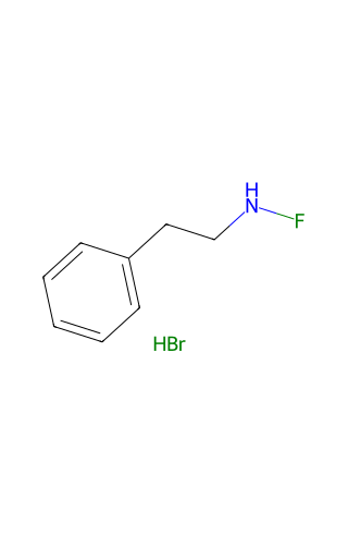 Br.FNCCc1ccccc1